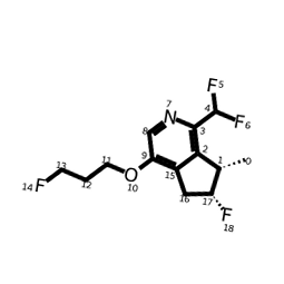 C[C@H]1c2c(C(F)F)ncc(OCCCF)c2C[C@H]1F